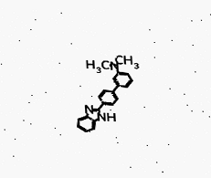 CN(C)c1cccc(-c2ccc(-c3nc4ccccc4[nH]3)cc2)c1